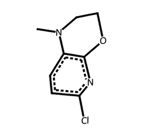 CN1CCOc2nc(Cl)ccc21